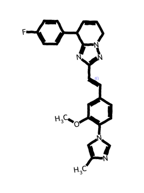 COc1cc(/C=C/c2nc3n(n2)CC=CC3c2ccc(F)cc2)ccc1-n1cnc(C)c1